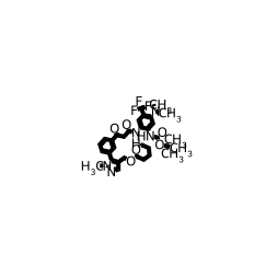 CN(C)c1cc(NC(=O)OC(C)(C)C)c(NC(=O)CC(=O)c2cccc(-c3c(COC4CCCCO4)cnn3C)c2)cc1C(F)(F)F